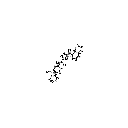 N#Cc1cc(NC(=O)c2nnc(Nc3cccc4ccccc34)o2)ccc1N1CCOCC1